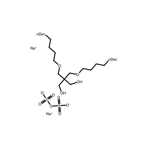 CCCCCCCCCCCCCCOCC(CO)(CO)COCCCCCCCCCCCCCC.O=S(=O)([O-])OS(=O)(=O)[O-].[Na+].[Na+]